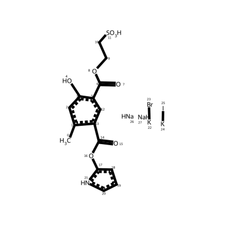 Cc1cc(O)c(C(=O)OCCS(=O)(=O)O)cc1C(=O)Oc1ccc[nH]1.[K][Br].[K][I].[NaH].[NaH]